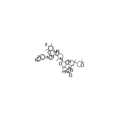 Cc1cc(-n2nc3c(c2-n2ccn(-c4ccn5cncc5c4)c2=O)[C@H](C)N(C(=O)c2cn4c(c2C2(c5noc(=O)[nH]5)CC2)C=CC(C)([C@@H]2CCOC(C)(C)C2)C4)CC3)cc(C)c1F